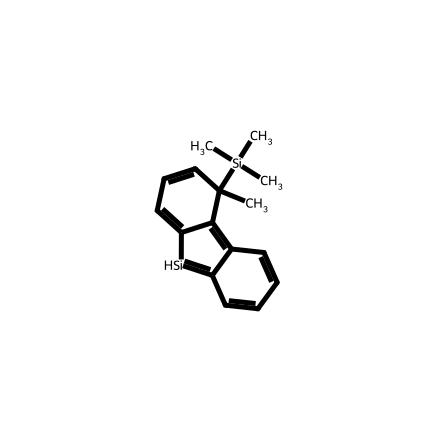 CC1([Si](C)(C)C)C=CC=C2[SiH]=c3ccccc3=C21